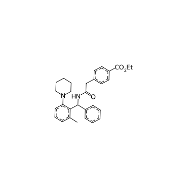 CCOC(=O)c1ccc(CC(=O)NC(c2ccccc2)c2c(C)cccc2N2CCCCC2)cc1